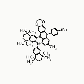 Cc1cc2c3c(c1)N(c1ccc4c(c1)C(C)(C)CCC4(C)C)c1cc4c(cc1B3C1=C(C=C3OCCOC3C1)N2c1ccc(C(C)(C)C)cc1)C(C)(C)CCC4(C)C